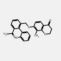 Cc1c(OCc2cccc(C(N)=O)c2-c2ccccc2C#N)ccc2c1OCCC2=O